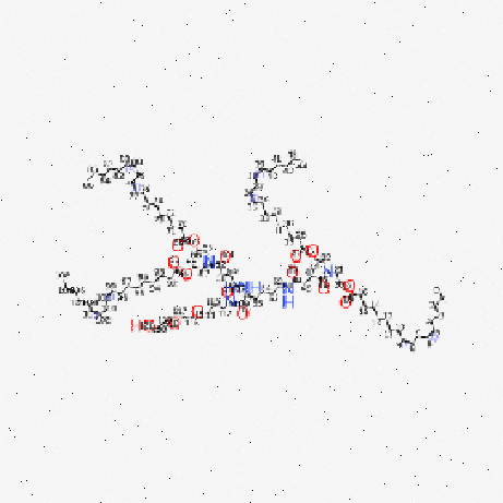 CCCCC/C=C\C/C=C\CCCCCCCC(=O)OCCN(CCOC(=O)CCCCCCC/C=C\C/C=C\CCCCC)C(=O)CCC(=O)NCCCCC(NC(=O)CCC(=O)N(CCOC(=O)CCCCCCC/C=C\C/C=C\CCCCC)CCOC(=O)CCCCCCC/C=C\C/C=C\CCCCC)C(=O)NCCCOCCOCCO